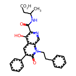 CC(CC(=O)O)NC(=O)c1ncc2c(cc(-c3ccccc3)c(=O)n2CCc2ccccc2)c1O